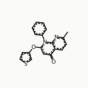 Cc1ccc2c(=O)cc(Oc3ccsc3)n(-c3ccccc3)c2n1